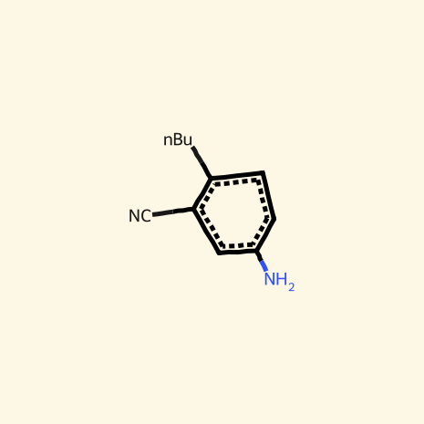 CCCCc1ccc(N)cc1C#N